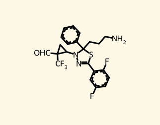 NCCCC1(c2ccccc2)SC(c2cc(F)ccc2F)=NN1C1CC1(C=O)C(F)(F)F